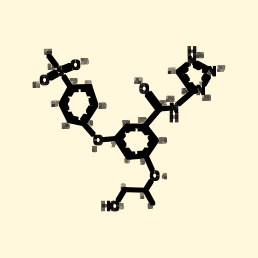 CC(CO)Oc1cc(Oc2ccc(S(C)(=O)=O)cc2)cc(C(=O)Nc2c[nH]nn2)c1